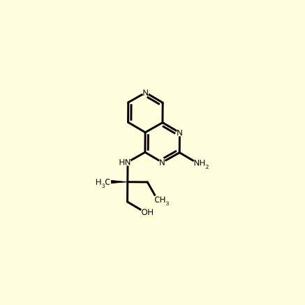 CC[C@](C)(CO)Nc1nc(N)nc2cnccc12